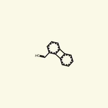 [CH]=Cc1[c]ccc2c1-c1ccccc1-2